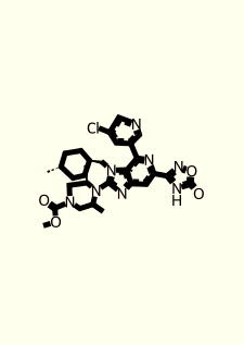 COC(=O)N1CC(C)N(c2nc3cc(-c4noc(=O)[nH]4)nc(-c4cncc(Cl)c4)c3n2C[C@H]2CC[C@H](C)CC2)[C@H](C)C1